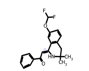 CC1(C)Cc2ccc(OC(F)F)cc2/C(=C/C(=O)c2ccccc2)N1